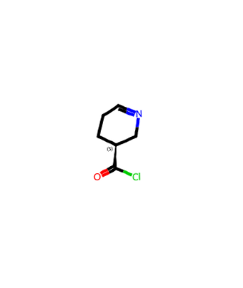 O=C(Cl)[C@H]1CCC=NC1